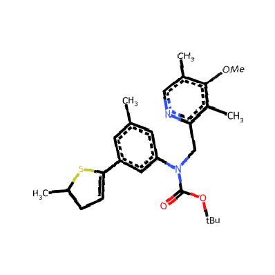 COc1c(C)cnc(CN(C(=O)OC(C)(C)C)c2cc(C)cc(C3=CCC(C)S3)c2)c1C